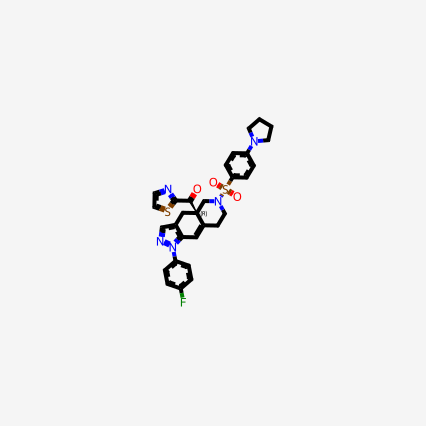 O=C(c1nccs1)[C@]12Cc3cnn(-c4ccc(F)cc4)c3C=C1CCN(S(=O)(=O)c1ccc(N3CCCC3)cc1)C2